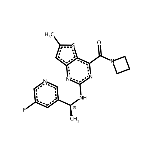 Cc1cc2nc(N[C@@H](C)c3cncc(F)c3)nc(C(=O)N3C[CH]C3)c2s1